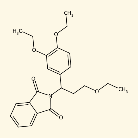 CCOCCC(c1ccc(OCC)c(OCC)c1)N1C(=O)c2ccccc2C1=O